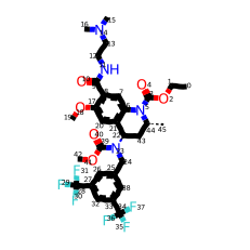 CCOC(=O)N1c2cc(C(=O)NCCN(C)C)c(OC)cc2[C@@H](N(Cc2cc(C(F)(F)F)cc(C(F)(F)F)c2)C(=O)OC)C[C@H]1C